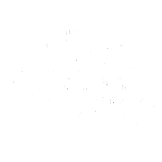 CC1=C(C)C(C)(C)c2cc3c4c5ccccc5ccc4n(-c4cccc(-c5nc(-c6ccccc6)nc(-c6ccccc6)n5)c4)c3cc21